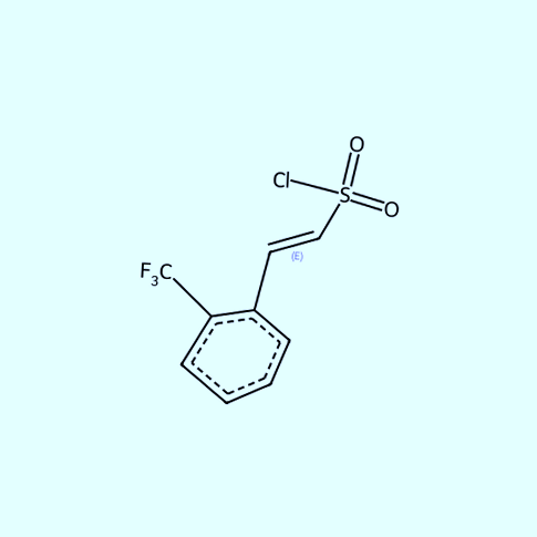 O=S(=O)(Cl)/C=C/c1ccccc1C(F)(F)F